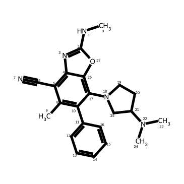 CNc1nc2c(C#N)c(C)c(-c3ccccc3)c(N3CCC(N(C)C)C3)c2o1